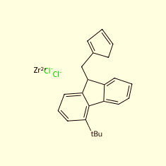 CC(C)(C)c1cccc2c1-c1ccccc1C2CC1=CC=CC1.[Cl-].[Cl-].[Zr+2]